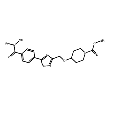 CC(C)N(O)C(=O)c1ccc(-c2nc(COC3CCN(C(=O)OC(C)(C)C)CC3)no2)cc1